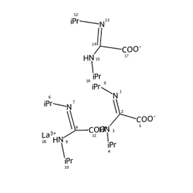 CC(C)N=C(NC(C)C)C(=O)[O-].CC(C)N=C(NC(C)C)C(=O)[O-].CC(C)N=C(NC(C)C)C(=O)[O-].[La+3]